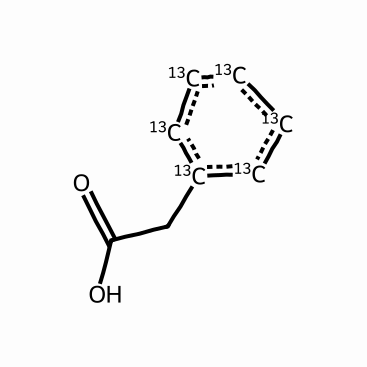 O=C(O)C[13c]1[13cH][13cH][13cH][13cH][13cH]1